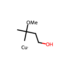 COC(C)(C)CCO.[Cu]